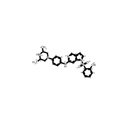 CC1CN(c2ccc(Nc3cc4c(ccn4S(=O)(=O)c4ccccc4C#N)cn3)cc2)CC(C)N1